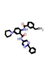 BCc1cccc(C(=O)Nc2ccc(N3CCCCC3)cc2C(=O)Nc2cnc(-c3ccccc3)nc2)c1